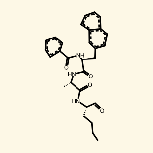 CCCC[C@@H](C=O)NC(=O)[C@H](C)NC(=O)[C@H](Cc1ccc2ccccc2c1)NC(=O)c1ccccc1